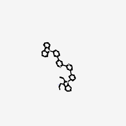 C=Cc1c(/C=C\C)c2ccccc2n1-c1cccc(-c2ccnc(-c3cc(-c4cccc(-n5c6ccccc6c6ccccc65)c4)ccn3)c2)c1